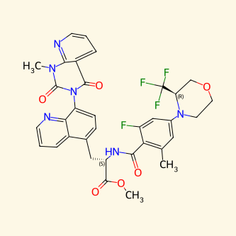 COC(=O)[C@H](Cc1ccc(-n2c(=O)c3cccnc3n(C)c2=O)c2ncccc12)NC(=O)c1c(C)cc(N2CCOC[C@@H]2C(F)(F)F)cc1F